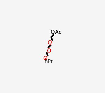 CCCOCCOCCOCCCOC(C)=O